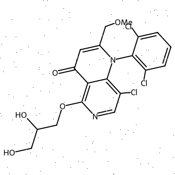 COCc1cc(=O)c2c(OCC(O)CO)ncc(Cl)c2n1-c1c(Cl)cccc1Cl